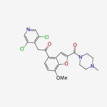 COc1ccc(C(=O)Cc2c(Cl)cncc2Cl)c2cc(C(=O)N3CCN(C)CC3)oc12